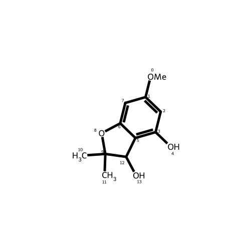 COc1cc(O)c2c(c1)OC(C)(C)C2O